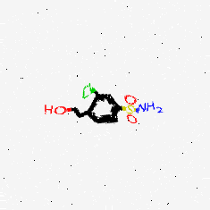 NS(=O)(=O)c1ccc(CCO)c(Cl)c1